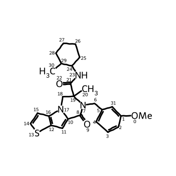 COc1cccc(CN2C(=O)c3cc4sccc4n3CC2(C)C(=O)NC2CCCCC2C)c1